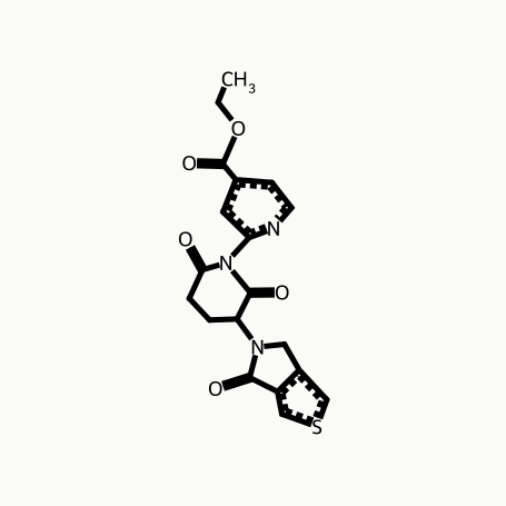 CCOC(=O)c1ccnc(N2C(=O)CCC(N3Cc4cscc4C3=O)C2=O)c1